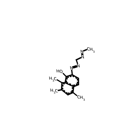 CN=NCN=Nc1ccc2c(C)cc(C)c(C)c2c1O